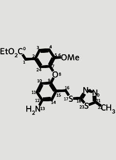 CCOC(=O)Cc1ccc(OC)c(Oc2ccc(N)cc2CSc2nnc(C)s2)c1